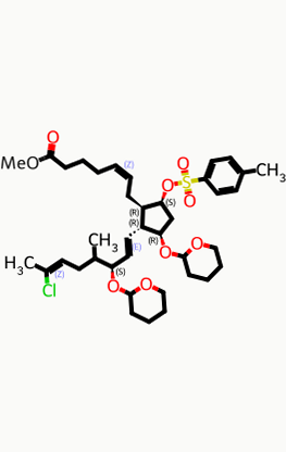 COC(=O)CCC/C=C\C[C@@H]1[C@@H](/C=C/[C@@H](OC2CCCCO2)C(C)C/C=C(/C)Cl)[C@H](OC2CCCCO2)C[C@@H]1OS(=O)(=O)c1ccc(C)cc1